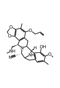 C=CCOc1c(C)c2c(c3c1CC1[C@H]4NC(Cc5cc(C)c(OC)c(O)c54)[C@H](C#N)N1[C@H]3CNC)OCO2